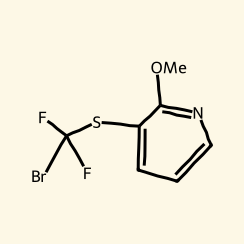 COc1ncccc1SC(F)(F)Br